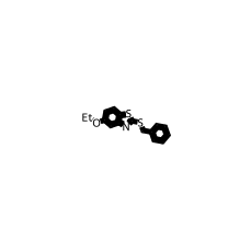 CCOc1ccc2sc(SCc3ccccc3)nc2c1